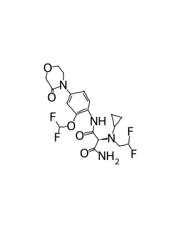 NC(=O)[C@@H](C(=O)Nc1ccc(N2CCOCC2=O)cc1OC(F)F)N(CC(F)F)C1CC1